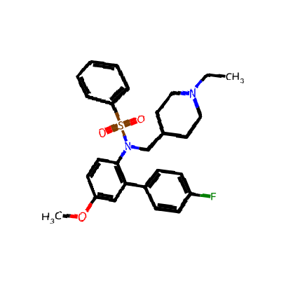 CCN1CCC(CN(c2ccc(OC)cc2-c2ccc(F)cc2)S(=O)(=O)c2ccccc2)CC1